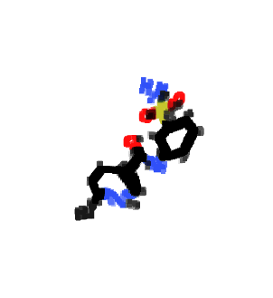 CC(C)(C)c1ccc(C(=O)Nc2cccc(S(N)(=O)=O)c2)cn1